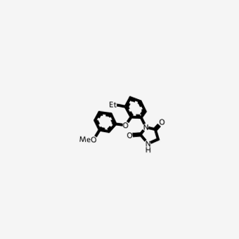 CCc1cccc(N2C(=O)CNC2=O)c1Oc1cccc(OC)c1